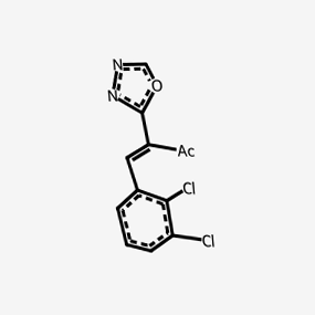 CC(=O)C(=Cc1cccc(Cl)c1Cl)c1nnco1